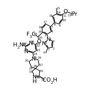 Cc1ccn(-c2cc(-c3ccc(OC(C)C)c(C)c3)ccc2C(Oc2cc(N3CCC4(CC3)CN[C@H](C(=O)O)C4)nc(N)n2)C(F)(F)F)n1